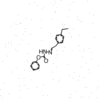 CCc1ccc(CC=NNC(=O)Oc2ccccc2)cc1